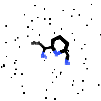 CCCCCC(N)c1cccc(C=N)n1